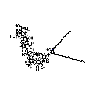 CCCCCCCCCCCCC/C=C/[C@@H](O)[C@H](CO[C@@H]1OC(CO)[C@@H](O[C@@H]2OC(CO)[C@H](O)[C@H](O[C@@H]3OC(CO)[C@@H](O[C@@H]4OC(CO)[C@H](O)[C@H](O[C@@H]5OC(CO)[C@@H](O[C@@H]6OC(CO)[C@H](O)[C@H](O[C@]7(C(=O)O)CC(O)[C@@H](NC(=O)CO)C([C@H](O)[C@H](O)CO)O7)C6O)[C@H](O)C5NC(C)=O)C4O)[C@H](O)C3NC(C)=O)C2O)[C@H](O)C1O)NC(=O)CCCCCCCCCCCCCCCCC